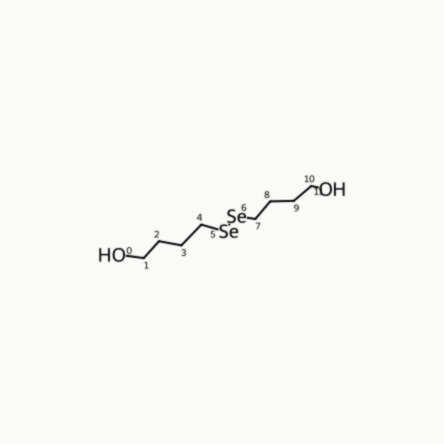 OCCCC[Se][Se]CCCCO